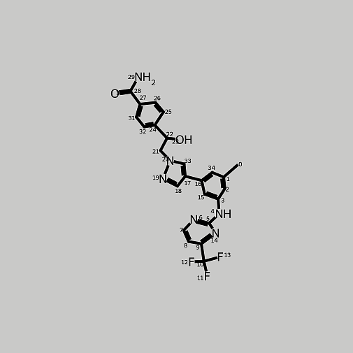 Cc1cc(Nc2nccc(C(F)(F)F)n2)cc(-c2cnn(CC(O)c3ccc(C(N)=O)cc3)c2)c1